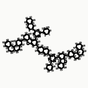 c1ccc(-c2nc(-c3ccc4ccccc4c3)nc(-c3cc(-c4ccc5cc(-c6nc(-c7ccccc7)nc(-c7ccc(-c8ccc9c(ccc%10ccc%11ccccc%11c%109)c8)c8oc9ccccc9c78)n6)ccc5c4)cc4oc5c(-c6ccc7c(ccc8ccc9ccccc9c87)c6)cccc5c34)n2)cc1